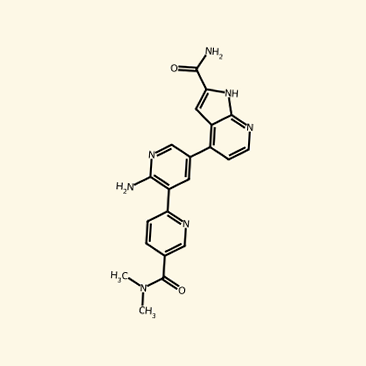 CN(C)C(=O)c1ccc(-c2cc(-c3ccnc4[nH]c(C(N)=O)cc34)cnc2N)nc1